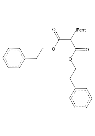 CCCC(C)C(C(=O)OCCc1ccccc1)C(=O)OCCc1ccccc1